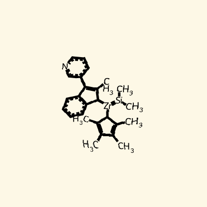 CC1=C(C)[CH]([Zr]([CH]2C(C)=C(c3cccnc3)c3ccccc32)=[Si](C)C)C(C)=C1C